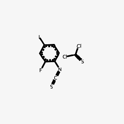 Fc1cc(I)ccc1N=C=S.S=C(Cl)Cl